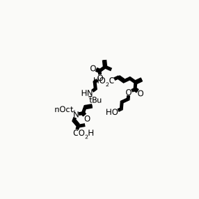 C=C(C)C(=O)OCCNC(C)(C)C.C=C(CC=CC(=O)O)C(=O)OCCCO.C=CC(=O)N(C=C(C)C(=O)O)CCCCCCCC